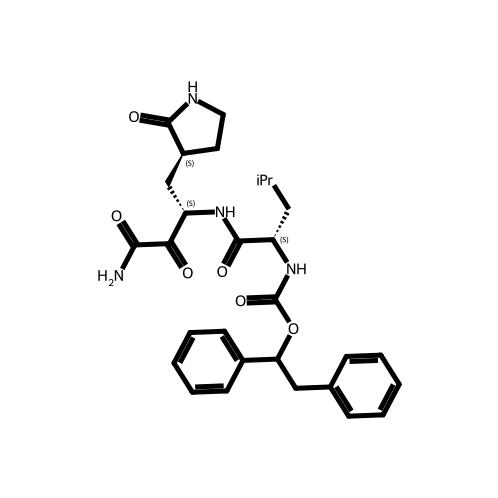 CC(C)C[C@H](NC(=O)OC(Cc1ccccc1)c1ccccc1)C(=O)N[C@@H](C[C@@H]1CCNC1=O)C(=O)C(N)=O